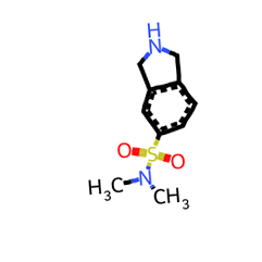 CN(C)S(=O)(=O)c1ccc2c(c1)CNC2